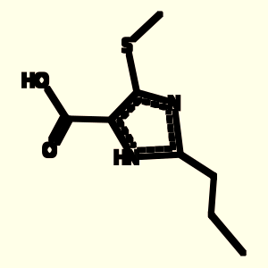 CCCc1nc(SC)c(C(=O)O)[nH]1